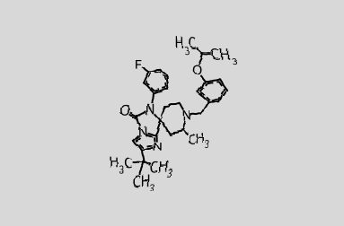 CC(C)Oc1cccc(CN2CC[C@@]3(C[C@@H]2C)c2nc(C(C)(C)C)cn2C(=O)N3c2cccc(F)c2)c1